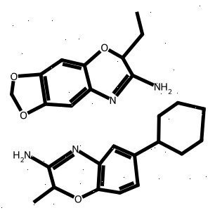 CC1Oc2ccc(C3CCCCC3)cc2N=C1N.CCC1Oc2cc3c(cc2N=C1N)OCO3